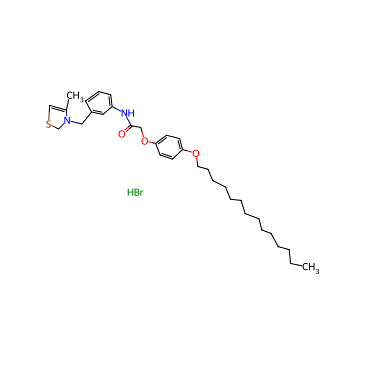 Br.CCCCCCCCCCCCCCOc1ccc(OCC(=O)Nc2cccc(CN3CSC=C3C)c2)cc1